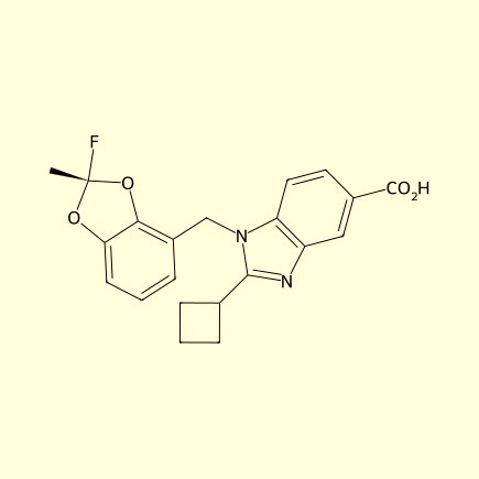 C[C@]1(F)Oc2cccc(Cn3c(C4CCC4)nc4cc(C(=O)O)ccc43)c2O1